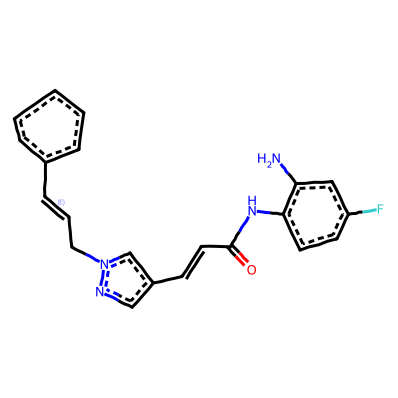 Nc1cc(F)ccc1NC(=O)C=Cc1cnn(C/C=C/c2ccccc2)c1